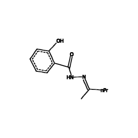 CCCC(C)=NNC(=O)c1ccccc1O